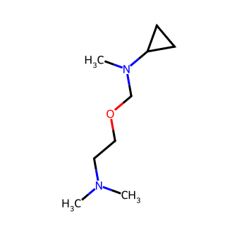 CN(C)CCOCN(C)C1CC1